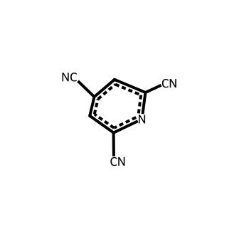 N#Cc1cc(C#N)nc(C#N)c1